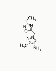 CCc1noc(Cn2cc(N)c(C)n2)n1